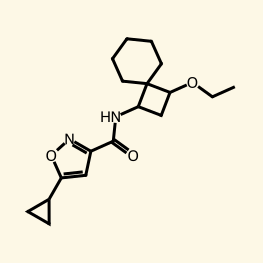 CCOC1CC(NC(=O)c2cc(C3CC3)on2)C12CCCCC2